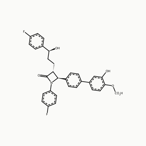 O=C(O)Oc1ccc(-c2ccc([C@@H]3[C@@H](CC[C@H](O)c4ccc(F)cc4)C(=O)N3c3ccc(F)cc3)cc2)cc1O